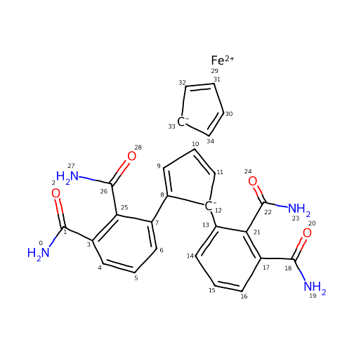 NC(=O)c1cccc(-c2ccc[c-]2-c2cccc(C(N)=O)c2C(N)=O)c1C(N)=O.[Fe+2].c1cc[cH-]c1